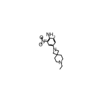 CCN1CCC2(CC1)CN(c1ccc(N)c([N+](=O)[O-])c1)C2